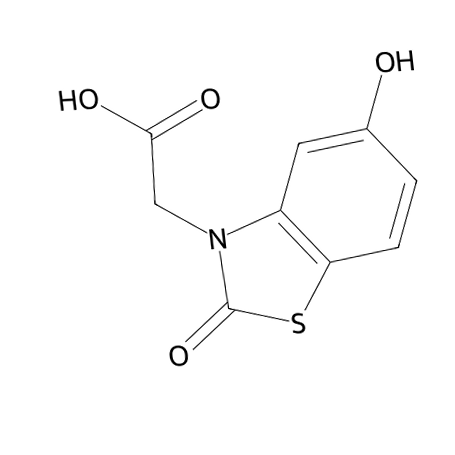 O=C(O)Cn1c(=O)sc2ccc(O)cc21